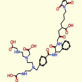 O=C(O)CNCCN(CCN(CCNCC(=O)O)Cc1ccc(C(=O)NC(Cc2ccccc2)C(=O)NCC(=O)CC(CCCCN2C(=O)C=CC2=O)C(=O)O)cc1)CC(=O)O